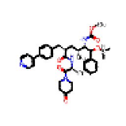 CC(C)[C@H](NC(=O)[C@@H](Cc1ccc(-c2ccncc2)cc1)C[C@H]([C@H](NC(=O)OC(C)(C)C)C(O[SiH](C)C)c1ccccc1)C(C)(C)C)C(=O)N1CCC(=O)CC1